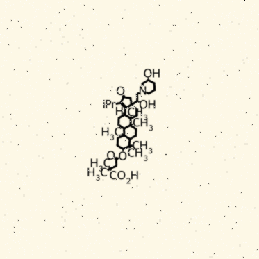 CC(C)C1=C2[C@H]3CCC4[C@@]5(C)CC[C@H](OC(=O)CC(C)(C)C(=O)O)C(C)(C)C5CC[C@@]4(C)[C@]3(C)CC[C@@]2([C@H](O)CN2CCC[C@@H](O)C2)CC1=O